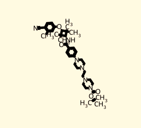 CC(C)(C)OC(=O)N1CCN(CCN2CCN(c3ccc(C(=O)N[C@H]4C(C)(C)[C@H](Oc5ccc(C#N)c(Cl)c5)C4(C)C)cc3)CC2)CC1